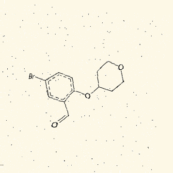 O=Cc1cc(Br)ccc1OC1CCOCC1